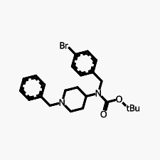 CC(C)(C)OC(=O)N(Cc1ccc(Br)cc1)C1CCN(Cc2ccccc2)CC1